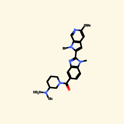 CCn1c(-c2nc3cc(C(=O)N4CCCC(N(C(=O)O)C(C)(C)C)C4)ccc3n2C)cc2cc(OC)ncc21